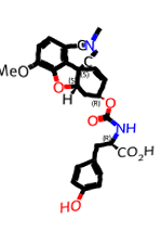 COc1ccc2c3c1O[C@H]1C[C@@H](OC(=O)N[C@H](Cc4ccc(O)cc4)C(=O)O)C=C[C@@]31CCN(C)C2